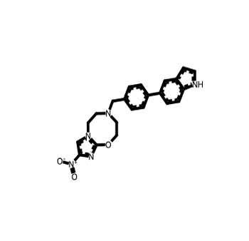 O=[N+]([O-])c1cn2c(n1)OCCN(Cc1ccc(-c3ccc4[nH]ccc4c3)cc1)CC2